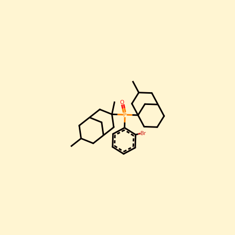 CC1CC2CC(C1)CC(C)(P(=O)(c1ccccc1Br)C13CCCC(CC(C)C1)C3)C2